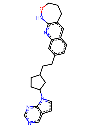 c1ncc2ccn(C3CCC(CCc4ccc5cc6c(nc5c4)NOCCC6)C3)c2n1